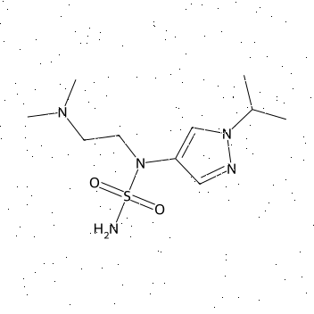 CC(C)n1cc(N(CCN(C)C)S(N)(=O)=O)cn1